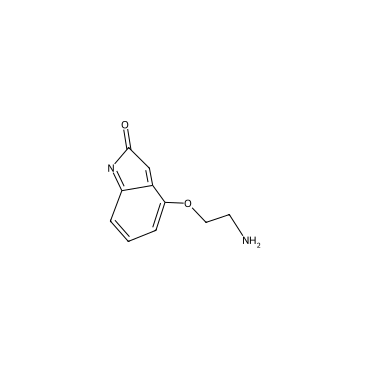 NCCOc1cccc2c1=CC(=O)N=2